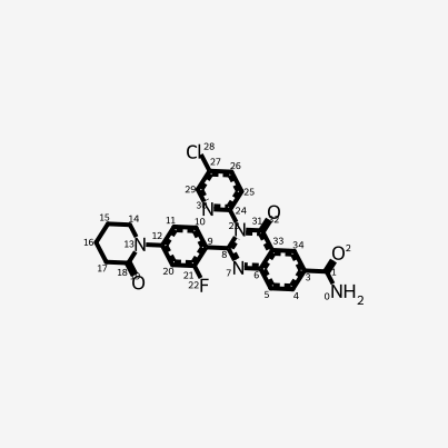 NC(=O)c1ccc2nc(-c3ccc(N4CCCCC4=O)cc3F)n(-c3ccc(Cl)cn3)c(=O)c2c1